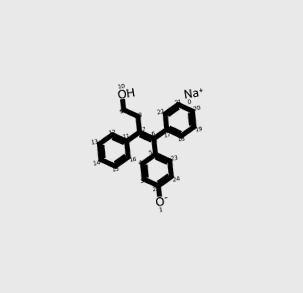 [Na+].[O-]c1ccc(C(=C(CCO)c2ccccc2)c2ccccc2)cc1